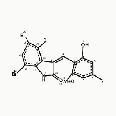 COc1cc(C)cc(O)c1C=C1C(=O)Nc2c(Br)cc(Br)c(C)c21